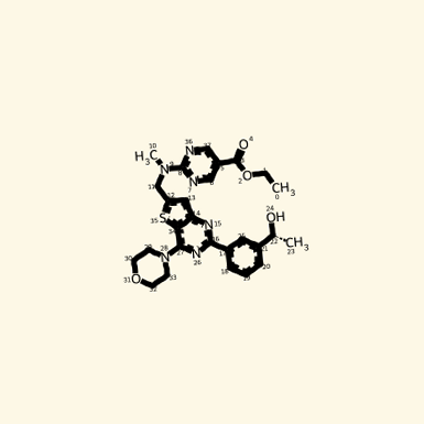 CCOC(=O)c1cnc(N(C)Cc2cc3nc(-c4cccc([C@@H](C)O)c4)nc(N4CCOCC4)c3s2)nc1